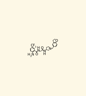 Nc1ccc(C(F)(F)F)cc1C(=O)NCC(=O)NC1CCN(Cc2ccc3c(c2)CCO3)C1